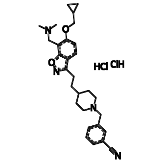 CN(C)Cc1c(OCC2CC2)ccc2c(CCC3CCN(Cc4cccc(C#N)c4)CC3)noc12.Cl.Cl